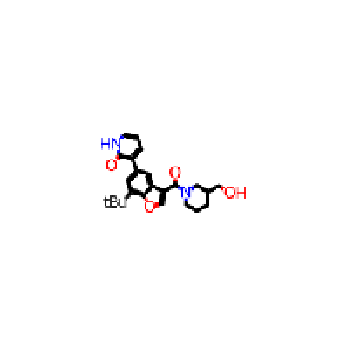 CC(C)(C)c1cc(-c2ccc[nH]c2=O)cc2c(C(=O)N3CCCC(CO)C3)coc12